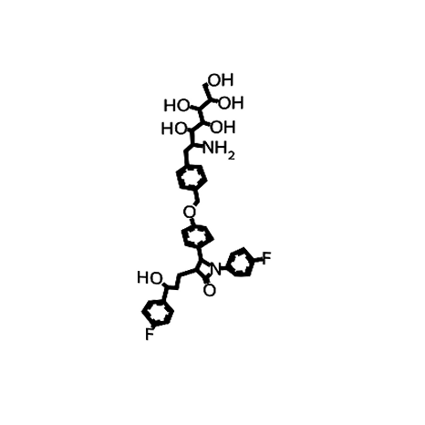 NC(Cc1ccc(COc2ccc(C3C(CCC(O)c4ccc(F)cc4)C(=O)N3c3ccc(F)cc3)cc2)cc1)C(O)C(O)C(O)C(O)CO